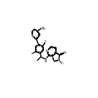 CCN1Cc2c(ccnc2NC(C)c2cc(F)c(-c3cc(C(C)(C)C)ccn3)cc2F)C1=O